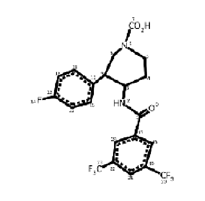 O=C(NC1CCN(C(=O)O)CC1c1ccc(F)cc1)c1cc(C(F)(F)F)cc(C(F)(F)F)c1